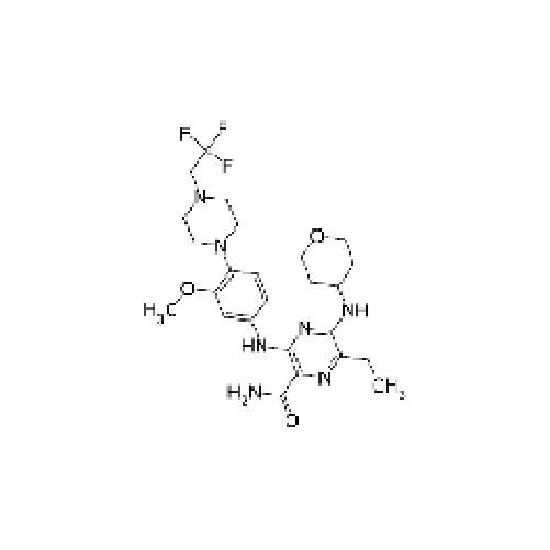 CCc1nc(C(N)=O)c(Nc2ccc(N3CCN(CC(F)(F)F)CC3)c(OC)c2)nc1NC1CCOCC1